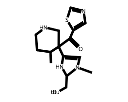 CC1CCNCC1(C(=O)c1cncs1)C1=CN(C)C(CC(C)(C)C)N1